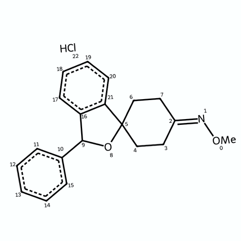 CON=C1CCC2(CC1)OC(c1ccccc1)c1ccccc12.Cl